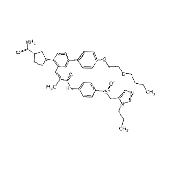 CCCCOCCOc1ccc(-c2ccc(N3CCC(C(N)=O)C3)c(C=C(C)C(=O)Nc3ccc([S@@+]([O-])Cc4cncn4CCC)cc3)c2)cc1